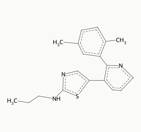 CCCNc1ncc(-c2cccnc2-c2cc(C)ccc2C)s1